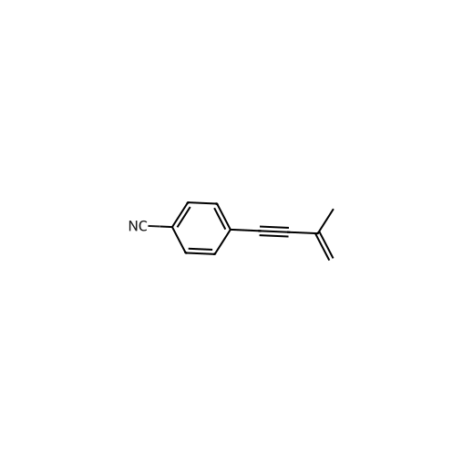 C=C(C)C#Cc1ccc(C#N)cc1